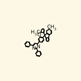 CC1C=CC2=C(C1)C1(C3=CC=CCC3(C)Oc3cc(-c4cc(-c5ccccc5)nc(-c5ccccc5)n4)ccc31)c1ccccc12